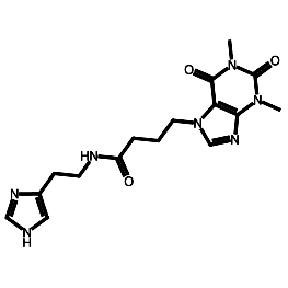 Cn1c(=O)c2c(ncn2CCCC(=O)NCCc2c[nH]cn2)n(C)c1=O